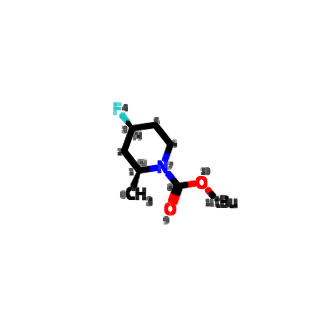 C[C@H]1C[C@@H](F)CCN1C(=O)OC(C)(C)C